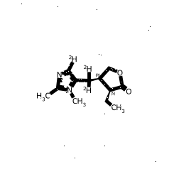 [2H]c1nc(C)n(C)c1C([2H])([2H])[C@H]1COC(=O)[C@H]1CC